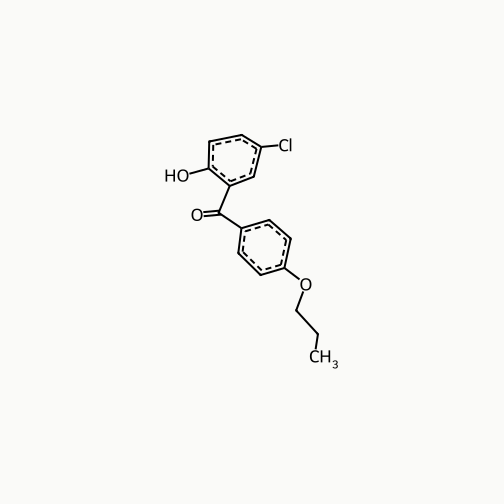 CCCOc1ccc(C(=O)c2cc(Cl)ccc2O)cc1